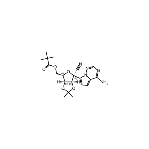 CC1(C)O[C@H]2[C@@H](O1)[C@](C#N)(c1ccc3c(N)ncnn13)O[C@@H]2COC(=O)C(C)(C)C